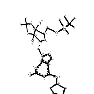 CC1(C)O[C@@H]2[C@H](O1)[C@@H](CO[Si](C)(C)C(C)(C)C)O[C@@H]2Cn1ncc2c(NC3CCCC3)nc(Cl)nc21